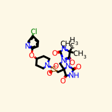 CN1C(=O)N(CC2(CS(=O)(=O)N3CCC(Oc4ccc(Cl)cn4)CC3)NC(=O)NC2=O)C(=O)C1(C)C